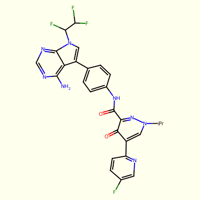 CC(C)n1cc(-c2ccc(F)cn2)c(=O)c(C(=O)Nc2ccc(-c3cn(C(F)C(F)F)c4ncnc(N)c34)cc2)n1